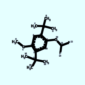 COc1cc(C(C)(C)C)c(OC(F)F)cc1C(C)(C)C